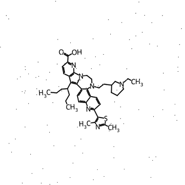 CCCC(CCC)c1c2n(c3nc(C(=O)O)ccc13)CCN(CCC1CCCN(CC)C1)c1c-2ccc2nc(-c3sc(C)nc3C)ccc12